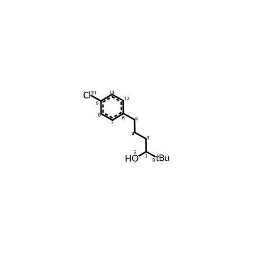 CC(C)(C)C(O)CCCc1ccc(Cl)cc1